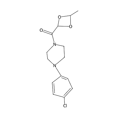 CC1OC(C(=O)N2CCN(c3ccc(Cl)cc3)CC2)O1